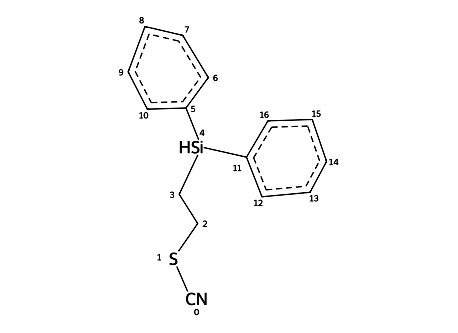 N#CSCC[SiH](c1ccccc1)c1ccccc1